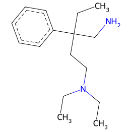 CCN(CC)CCC(CC)(CN)c1ccccc1